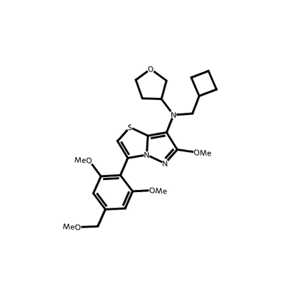 COCc1cc(OC)c(-c2csc3c(N(CC4CCC4)C4CCOC4)c(OC)nn23)c(OC)c1